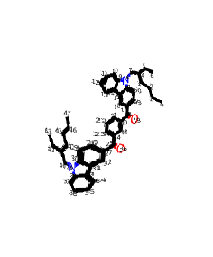 CCCCC(CC)Cn1c2ccccc2c2cc(C(=O)c3cccc(C(=O)c4ccc5c(c4)c4ccccc4n5CC(CC)CCCC)c3)ccc21